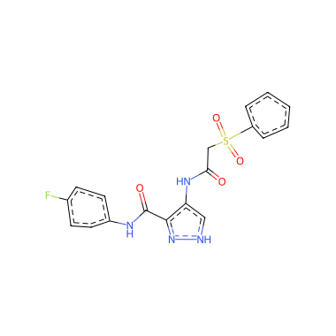 O=C(CS(=O)(=O)c1ccccc1)Nc1c[nH]nc1C(=O)Nc1ccc(F)cc1